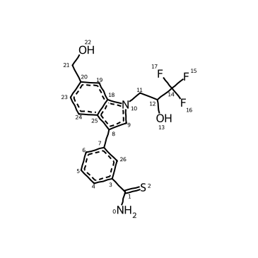 NC(=S)c1cccc(-c2cn(CC(O)C(F)(F)F)c3cc(CO)ccc23)c1